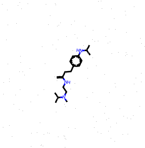 C=C(CCc1ccc(NC(C)C)cc1)NCCN(C)C(C)C